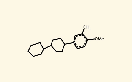 COc1ccc(C2CCC(C3CCCCC3)CC2)cc1C